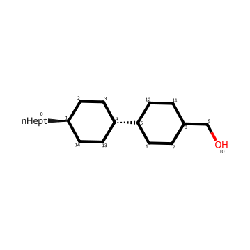 CCCCCCC[C@H]1CC[C@H](C2CCC(CO)CC2)CC1